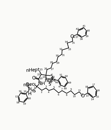 CCCCCCCCCCC(CCCCCCCCCCOc1ccccc1)(NC(=O)C(CCCCCCC)C(CCCCCCCCCC)(CCCCCCCCCCOc1ccccc1)S[PH](=S)c1ccccc1)S[PH](=S)c1ccccc1